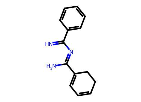 N=C(/N=C(\N)C1=CC=CCC1)c1ccccc1